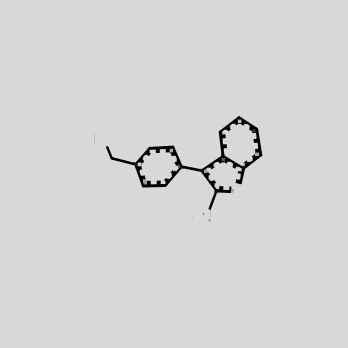 O=[N+]([O-])c1oc2ccccc2c1-c1ccc(CO)cc1